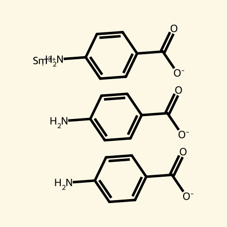 Nc1ccc(C(=O)[O-])cc1.Nc1ccc(C(=O)[O-])cc1.Nc1ccc(C(=O)[O-])cc1.[Sm+3]